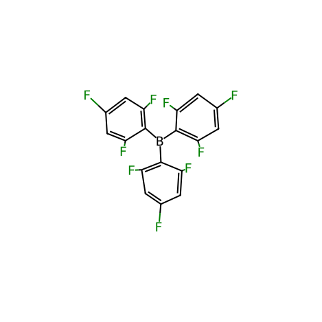 Fc1cc(F)c(B(c2c(F)cc(F)cc2F)c2c(F)cc(F)cc2F)c(F)c1